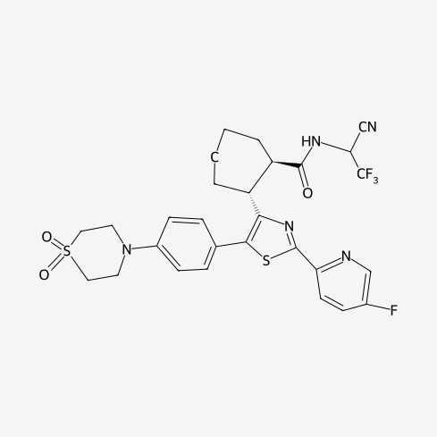 N#CC(NC(=O)[C@@H]1CCCC[C@H]1c1nc(-c2ccc(F)cn2)sc1-c1ccc(N2CCS(=O)(=O)CC2)cc1)C(F)(F)F